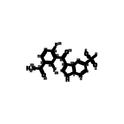 CS(=O)(=O)c1cnc2[nH]cc(C(=O)c3c(F)ccc(C(N)=O)c3F)c2c1